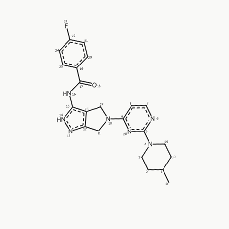 CC1CCN(c2nccc(N3Cc4n[nH]c(NC(=O)c5ccc(F)cc5)c4C3)n2)CC1